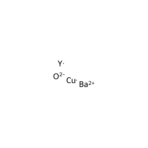 [Ba+2].[Cu].[O-2].[Y]